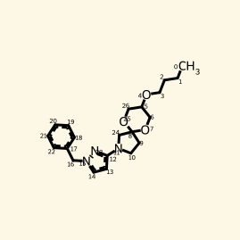 CCCCOC1COC2(CCN(c3ccn(Cc4ccccc4)n3)C2)OC1